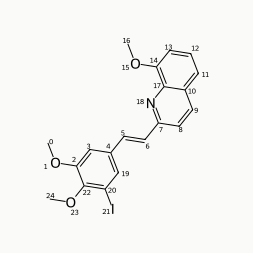 COc1cc(C=Cc2ccc3cccc(OC)c3n2)cc(I)c1OC